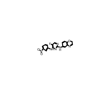 O=[N+]([O-])c1cccc(Nc2nc(Nc3ccc4c(c3)N=CCO4)ncc2F)c1